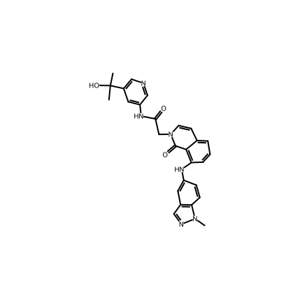 Cn1ncc2cc(Nc3cccc4ccn(CC(=O)Nc5cncc(C(C)(C)O)c5)c(=O)c34)ccc21